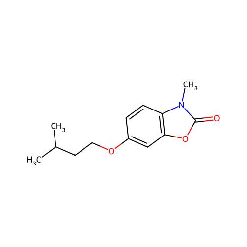 CC(C)CCOc1ccc2c(c1)oc(=O)n2C